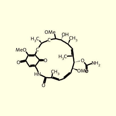 COC1=C2C[C@@H](C)CC(OC)[C@H](O)[C@@H](C)/C=C(\C)[C@H](OC(N)=O)[C@@H](OC)/C=C\C=C(/C)C(=O)NC(=CC1=O)C2=O